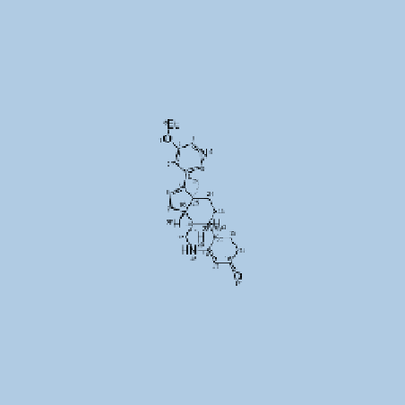 CCOc1cncc(C2=CC[C@H]3[C@@H]4CNC5=CC(=O)CC[C@]5(C)[C@H]4CC[C@]23C)c1